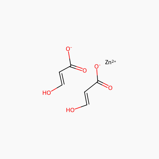 O=C([O-])C=CO.O=C([O-])C=CO.[Zn+2]